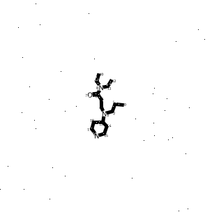 CCCN(CCC(=O)N(CC)CC)C1CC[N]CC1